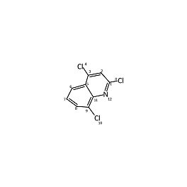 Clc1cc(Cl)c2cccc(Cl)c2n1